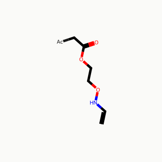 C=CNOCCOC(=O)CC(C)=O